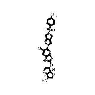 Cc1ccc(S(=O)(=O)N2Cc3cn(-c4nc5nc(O[C@@H]6CO[C@H]7[C@@H]6OC[C@H]7O)[nH]c5cc4Cl)nc3C2)cc1